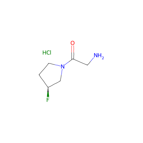 Cl.NCC(=O)N1CC[C@H](F)C1